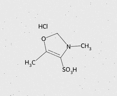 CC1=C(S(=O)(=O)O)N(C)CO1.Cl